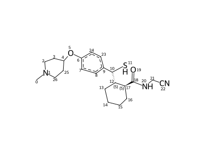 CN1CCC(Oc2ccc(C(S)[C@H]3CCCC[C@@H]3C(=O)NCC#N)cc2)CC1